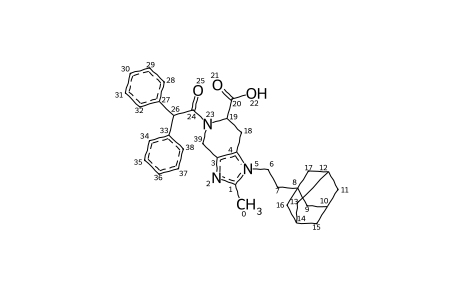 Cc1nc2c(n1CCC13CC4CC(CC(C4)C1)C3)CC(C(=O)O)N(C(=O)C(c1ccccc1)c1ccccc1)C2